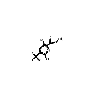 COC(=O)c1nc(O)c(C(F)(F)F)cc1Br